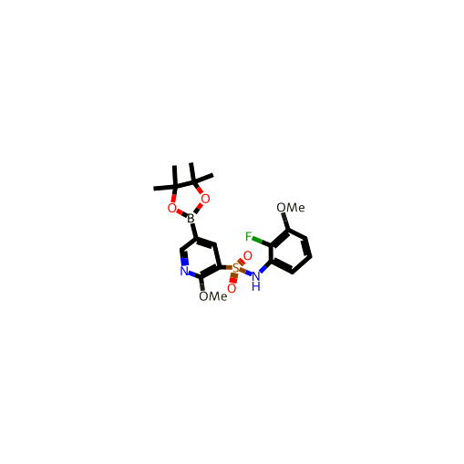 COc1cccc(NS(=O)(=O)c2cc(B3OC(C)(C)C(C)(C)O3)cnc2OC)c1F